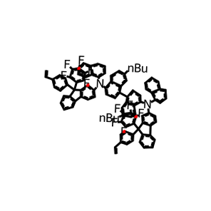 C=Cc1ccc(C2(c3c(F)c(F)c(F)c(F)c3F)c3ccccc3-c3ccc(N(c4cccc5ccccc45)c4ccc(-c5ccc(N(c6ccc7c(c6)C(c6ccc(C=C)cc6)(c6c(F)c(F)c(F)c(F)c6F)c6ccccc6-7)c6cccc7ccccc67)c6ccc(CCCC)cc56)c5cc(CCCC)ccc45)cc32)cc1